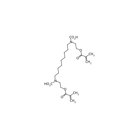 C=C(C)C(=O)OCCN(CCCCCCCCCN(CCOC(=O)C(=C)C)C(=O)O)C(=O)O